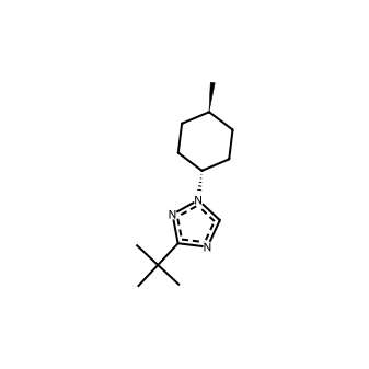 CC(C)(C)c1ncn([C@H]2CC[C@H](C)CC2)n1